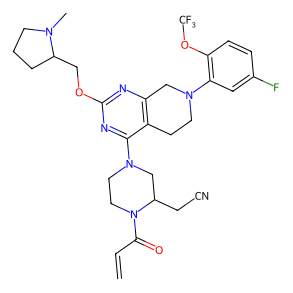 C=CC(=O)N1CCN(c2nc(OCC3CCCN3C)nc3c2CCN(c2cc(F)ccc2OC(F)(F)F)C3)CC1CC#N